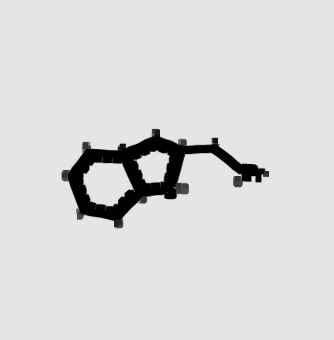 C[C](C)Cc1cc2ccccc2s1